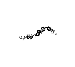 O=[N+]([O-])c1cn2c(n1)O[C@@H](COc1ccc3nc(N4CCN(Cc5ccc(OC(F)(F)F)cc5)CC4)ccc3c1)CC2